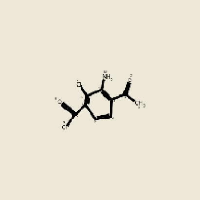 CC(=O)c1ccc(C(=O)Cl)c(Cl)c1N